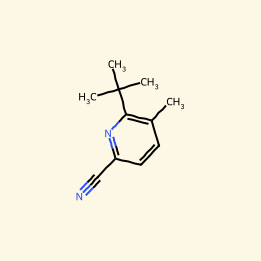 Cc1ccc(C#N)nc1C(C)(C)C